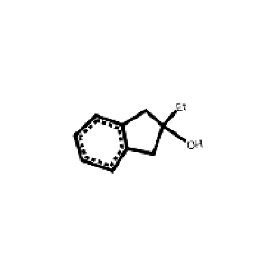 [CH2]CC1(O)Cc2ccccc2C1